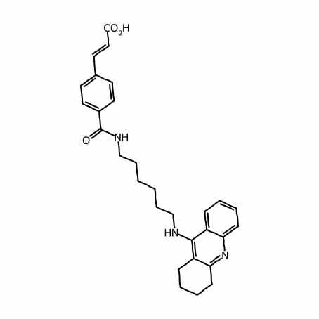 O=C(O)C=Cc1ccc(C(=O)NCCCCCCNc2c3c(nc4ccccc24)CCCC3)cc1